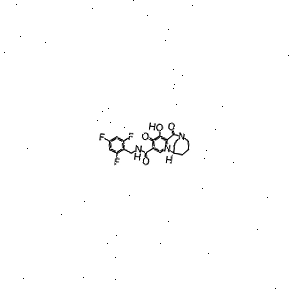 O=C(NCc1c(F)cc(F)cc1F)c1cn2c(c(O)c1=O)C(=O)N1CCC[C@@H]2CC1